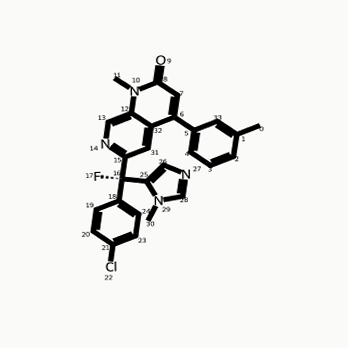 Cc1cccc(-c2cc(=O)n(C)c3cnc([C@](F)(c4ccc(Cl)cc4)c4cncn4C)cc23)c1